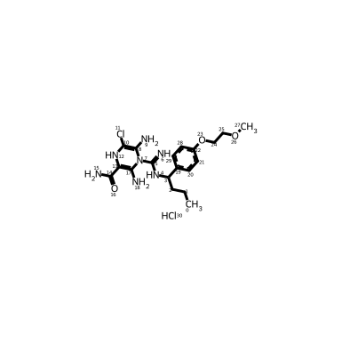 CCCC(NC(=N)N1C(N)=C(Cl)NC(C(N)=O)=C1N)c1ccc(OCCOC)cc1.Cl